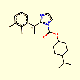 Cc1cccc([C@H](C)c2nccn2C(=O)OC2CCC(C(C)C)CC2)c1C